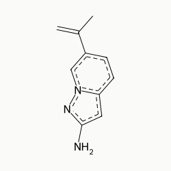 C=C(C)c1ccc2cc(N)nn2c1